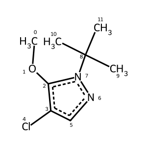 COc1c(Cl)cnn1C(C)(C)C